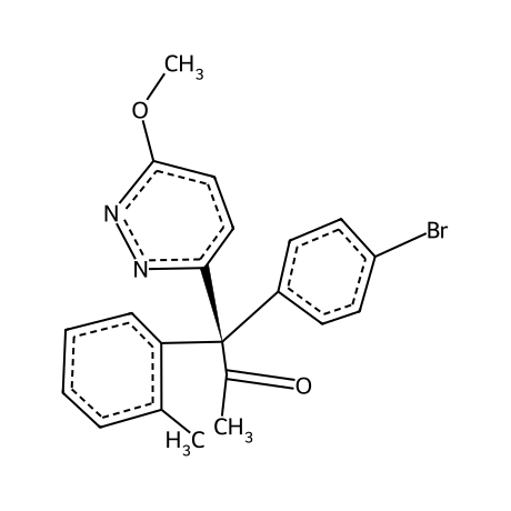 COc1ccc([C@](C(C)=O)(c2ccc(Br)cc2)c2ccccc2C)nn1